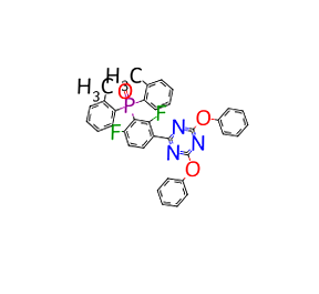 Cc1ccccc1P(=O)(c1ccccc1C)c1c(F)ccc(-c2nc(Oc3ccccc3)nc(Oc3ccccc3)n2)c1F